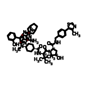 Cc1ncsc1-c1ccc(CNC(=O)[C@@H]2C[C@@H](O)CN2C(=O)[C@@H](NC(=O)[C@H]2CC[C@@H](N(C)Cc3cnc(N4C5CCC4CN(c4cc(-c6ccccc6O)nnc4N)C5)nc3)CC2)C(C)(C)C)cc1